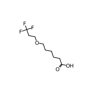 O=C(O)CCCCCOCCC(F)(F)F